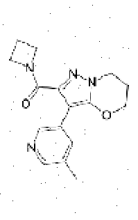 Cc1cncc(-c2c(C(=O)N3CCC3)nn3c2OCCC3)c1